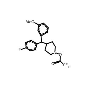 COc1cccc(C(c2ccc(F)cc2)C2CCN(OC(=O)C(F)(F)F)CC2)c1